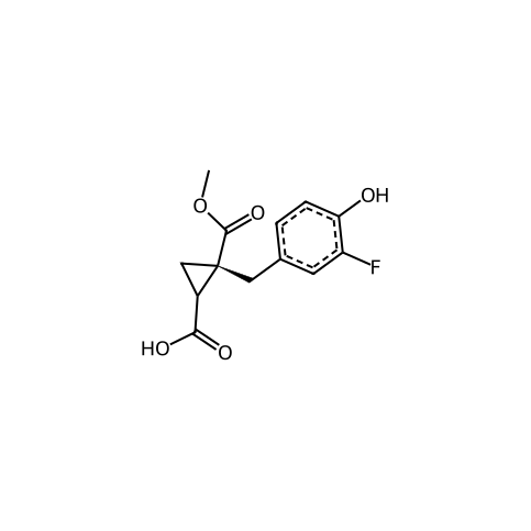 COC(=O)[C@@]1(Cc2ccc(O)c(F)c2)CC1C(=O)O